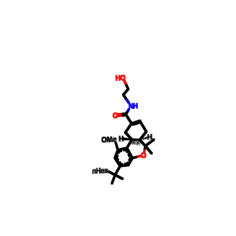 CCCCCCC(C)(C)c1cc(OC)c2c(c1)OC(C)(C)[C@@H]1CC=C(C(=O)NCCO)C[C@@H]21